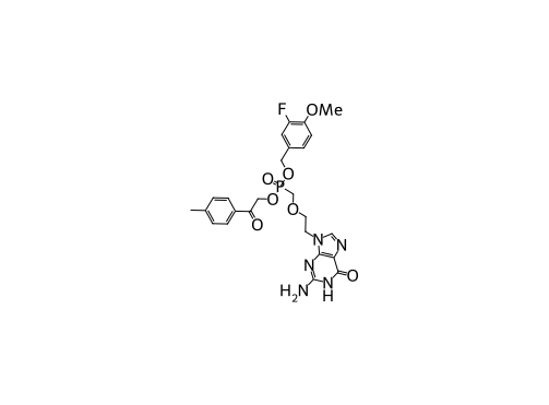 COc1ccc(COP(=O)(COCCn2cnc3c(=O)[nH]c(N)nc32)OCC(=O)c2ccc(C)cc2)cc1F